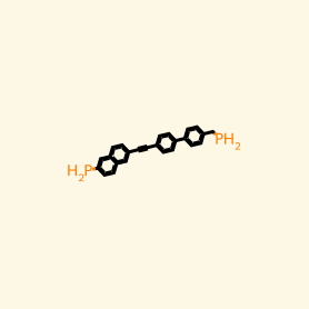 PCc1ccc(-c2ccc(C#Cc3ccc4cc(P)ccc4c3)cc2)cc1